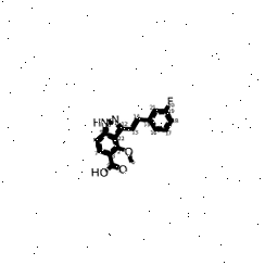 COc1c(C(=O)O)ccc2[nH]nc(/C=C/c3cccc(F)c3)c12